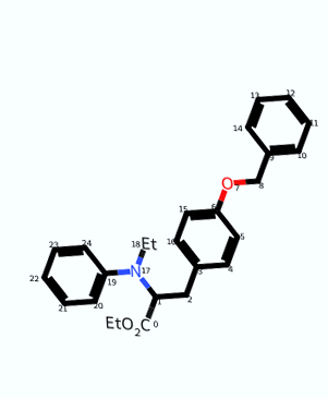 CCOC(=O)C(Cc1ccc(OCc2ccccc2)cc1)N(CC)c1ccccc1